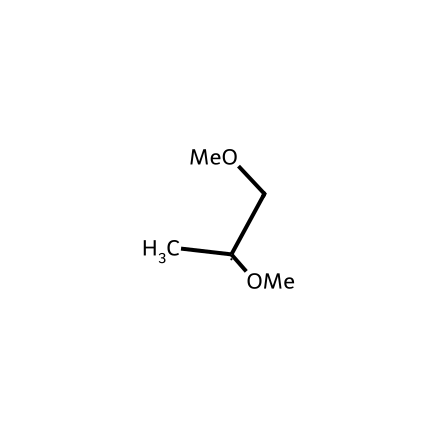 COC[C](C)OC